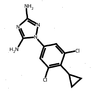 Nc1nc(N)n(-c2cc(Cl)c(C3CC3)c(Cl)c2)n1